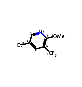 [CH2]Cc1cnc(OC)c(C(F)(F)F)c1